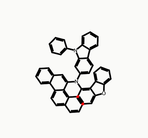 c1ccc(-n2c3ccccc3c3ccc(N(c4cccc5oc6ccccc6c45)c4cc5ccccc5c5ccc6ccccc6c45)cc32)cc1